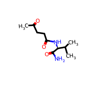 CC(=O)CCC(=O)N[C@H](C(N)=O)C(C)C